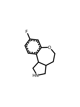 Fc1ccc2c(c1)OCCC1CNCC21